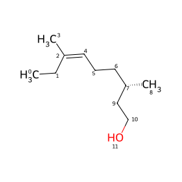 CC/C(C)=C\CC[C@H](C)CCO